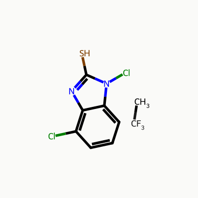 CC(F)(F)F.Sc1nc2c(Cl)cccc2n1Cl